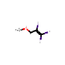 O=COCC(I)=C(I)I